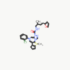 CC(CCc1ccco1)CNC(=O)N1N=CN2C1=CN(c1ccccc1Cl)C=C1C3=C(C=CC3)S(C)=C12